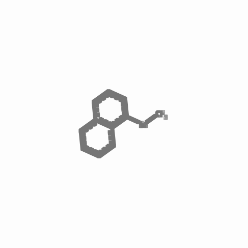 FC(F)(F)[Se]c1cccc2ccccc12